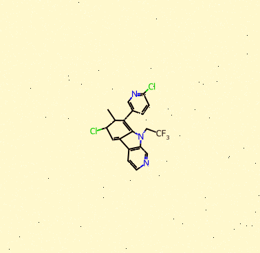 CC1C(c2ccc(Cl)nc2)=c2c(c3ccncc3n2CC(F)(F)F)=CC1Cl